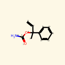 C=CC(C)(OC(N)=O)c1ccccc1